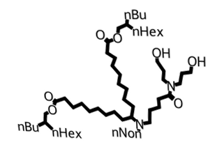 CCCCCCCCCN(CCCCC(=O)N(CCCO)CCCO)C(CCCCCCCCC(=O)OCC(CCCC)CCCCCC)CCCCCCCCC(=O)OCC(CCCC)CCCCCC